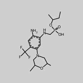 CCC(C)OP(=O)(O)CNc1cc(N2CC(C)OC(C)C2)c(C(F)(F)F)cc1N